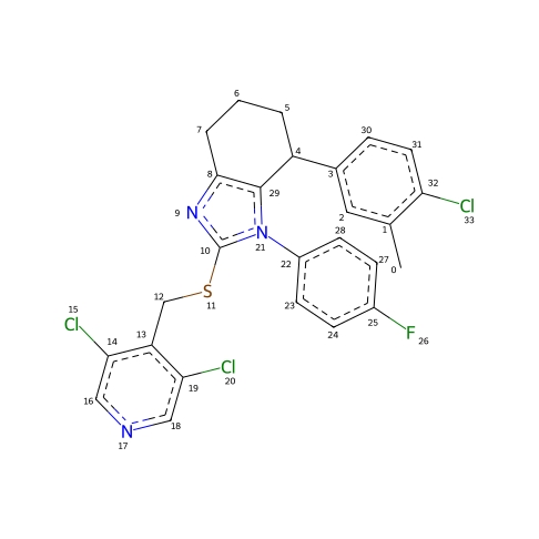 Cc1cc(C2CCCc3nc(SCc4c(Cl)cncc4Cl)n(-c4ccc(F)cc4)c32)ccc1Cl